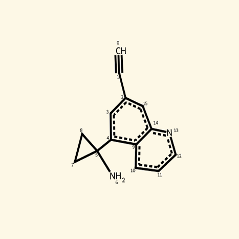 C#Cc1cc(C2(N)CC2)c2cccnc2c1